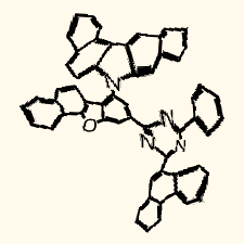 c1ccc(-c2nc(-c3cc(-n4c5cc6ccccc6cc5c5c6ccccc6ccc54)c4c(c3)oc3c5ccccc5ccc34)nc(-c3cc4ccccc4c4ccccc34)n2)cc1